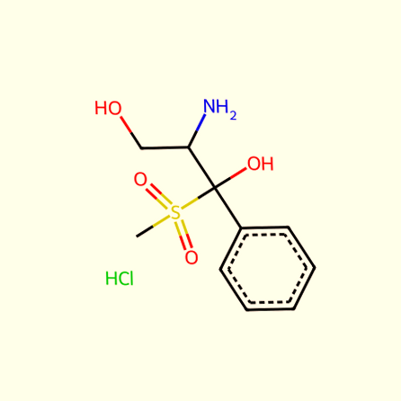 CS(=O)(=O)C(O)(c1ccccc1)C(N)CO.Cl